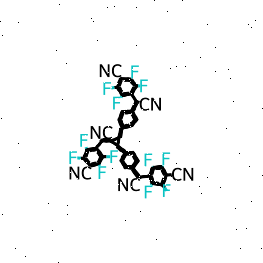 N#CC(=C1C(=c2ccc(=C(C#N)c3c(F)c(F)c(C#N)c(F)c3F)cc2)C1=c1ccc(=C(C#N)c2c(F)c(F)c(C#N)c(F)c2F)cc1)c1c(F)c(F)c(C#N)c(F)c1F